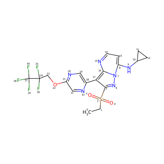 CCS(=O)(=O)c1nn2c(NC3CC3)ccnc2c1-c1cnc(OCC(F)(F)C(F)(F)F)cn1